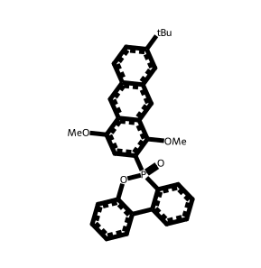 COc1cc(P2(=O)Oc3ccccc3-c3ccccc32)c(OC)c2cc3cc(C(C)(C)C)ccc3cc12